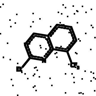 CCc1ccc2cccc(C(F)(F)F)c2n1